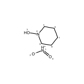 O=[NH+][O-].ON1CCCCC1